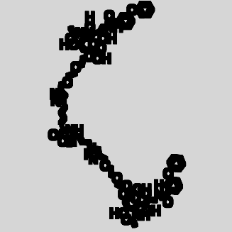 CC(=O)N[C@H]1[C@H]([C@H](O)[C@H](O)CNC(=O)c2cccc(Oc3ccccc3)c2)O[C@@](OCCOCCOCc2cn(CCCC[C@H](NC(=O)CCCn3cc(COCCOCCO[C@]4(C(=O)O)C[C@H](O)[C@@H](NC(C)=O)[C@H]([C@H](O)[C@H](O)CNC(=O)c5cccc(Oc6ccccc6)c5)O4)nn3)C(=O)O)nn2)(C(=O)O)C[C@@H]1O